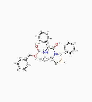 O=C(N[C@H](C(=O)N1C(c2ccccc2)SC[C@H]1C(=O)O)c1ccccc1)OCc1ccccc1